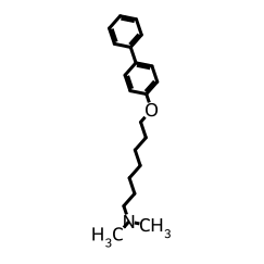 CN(C)CCCCCCCOc1ccc(-c2ccccc2)cc1